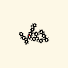 c1cc(-c2ccc3nc(-c4cccc(-n5c6ccccc6c6cc7sc8ccccc8c7cc65)c4)nc(-c4cccc(-n5c6ccccc6c6cc7sc8ccccc8c7cc65)c4)c3c2)cc(-n2c3ccccc3c3cc4sc5ccccc5c4cc32)c1